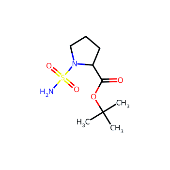 CC(C)(C)OC(=O)C1CCCN1S(N)(=O)=O